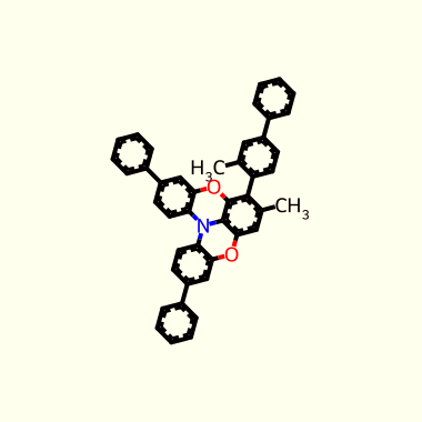 Cc1cc(-c2ccccc2)ccc1-c1c(C)cc2c3c1Oc1cc(-c4ccccc4)ccc1N3c1ccc(-c3ccccc3)cc1O2